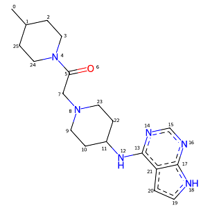 CC1CCN(C(=O)CN2CCC(Nc3ncnc4[nH]ccc34)CC2)CC1